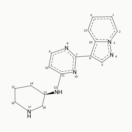 c1ccn2ncc(-c3nccc(N[C@@H]4CCCNC4)n3)c2c1